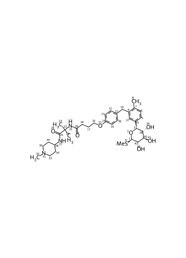 CS[C@H]1O[C@@H](c2ccc(C)c(Cc3ccc(OCCCC(=O)NC(C)(C)C(=O)NC4CCN(C)CC4)cc3)c2)[C@H](O)[C@@H](O)[C@@H]1O